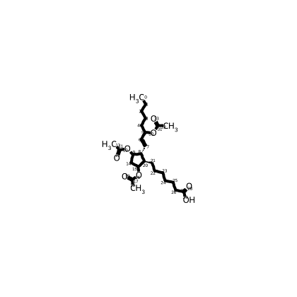 CCCCCC(C=C[C@H]1C(OC(C)=O)CC(OC(C)=O)[C@@H]1CCCCCCC(=O)O)OC(C)=O